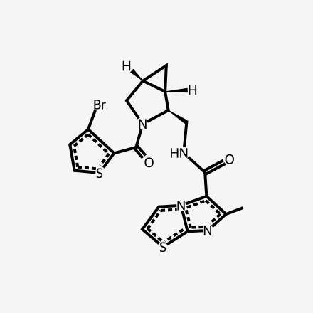 Cc1nc2sccn2c1C(=O)NC[C@@H]1[C@H]2C[C@H]2CN1C(=O)c1sccc1Br